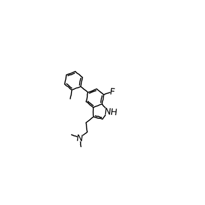 Cc1ccccc1-c1cc(F)c2[nH]cc(CCN(C)C)c2c1